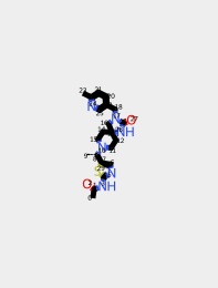 CC(=O)Nc1ncc([C@H](C)N2CCC3(CC2)CN(Cc2ccc(C)nc2)C(=O)N3)s1